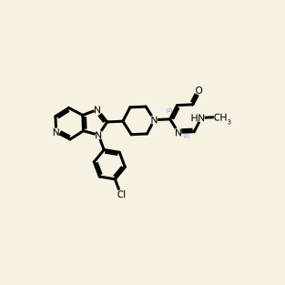 CN/C=N\C(=C/C=O)N1CCC(c2nc3ccncc3n2-c2ccc(Cl)cc2)CC1